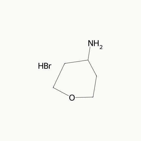 Br.NC1CCOCC1